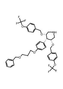 FC(F)(F)Oc1ccc(CO[C@H]2CNC[C@@H](OCc3ccc(OC(F)(F)F)cc3)[C@H]2c2ccc(OCCCOCc3ccccc3)cc2)cc1